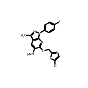 CNc1cc2c(C(F)(F)F)nn(-c3ccc(F)cc3)c2nc1OCc1ncc(Cl)s1